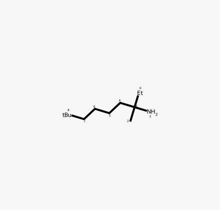 CCC(C)(N)CCCCC(C)(C)C